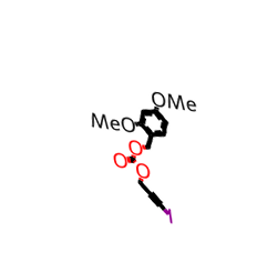 COc1ccc(COC(=O)OCC#CI)c(OC)c1